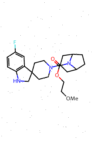 COCCOC(=O)N1C2CCC1CC(N1CCC3(CC1)CNc1ccc(F)cc13)C2